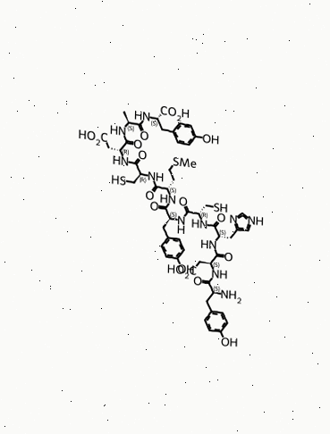 CSCC[C@H](NC(=O)[C@H](Cc1ccc(O)cc1)NC(=O)[C@H](CS)NC(=O)[C@H](Cc1c[nH]cn1)NC(=O)[C@H](CC(=O)O)NC(=O)[C@@H](N)Cc1ccc(O)cc1)C(=O)N[C@@H](CS)C(=O)N[C@H](CC(=O)O)C(=O)N[C@@H](C)C(=O)N[C@@H](Cc1ccc(O)cc1)C(=O)O